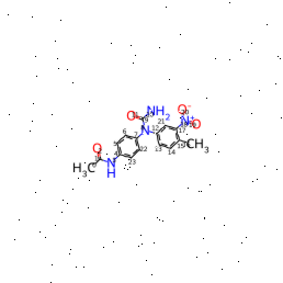 CC(=O)Nc1ccc(N(C(N)=O)c2ccc(C)c([N+](=O)[O-])c2)cc1